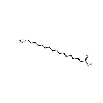 CCCCCCC=CCCCC=CC=CC=CC(=O)O